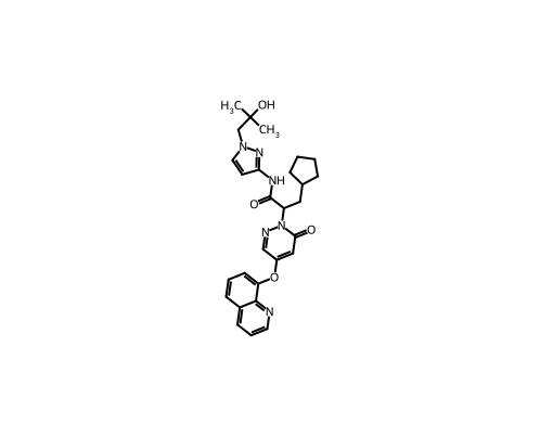 CC(C)(O)Cn1ccc(NC(=O)C(CC2CCCC2)n2ncc(Oc3cccc4cccnc34)cc2=O)n1